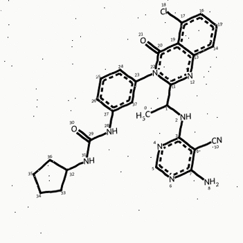 CC(Nc1ncnc(N)c1C#N)c1nc2cccc(Cl)c2c(=O)n1-c1cccc(NC(=O)NC2CCCC2)c1